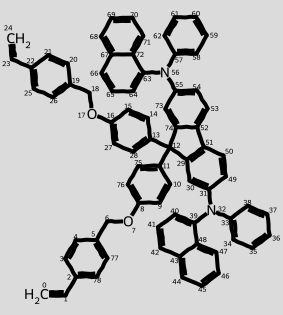 C=Cc1ccc(COc2ccc(C3(c4ccc(OCc5ccc(C=C)cc5)cc4)c4cc(N(c5ccccc5)c5cccc6ccccc56)ccc4-c4ccc(N(c5ccccc5)c5cccc6ccccc56)cc43)cc2)cc1